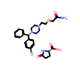 NC(=O)COCCN1CCN([C@H](c2ccccc2)c2ccc(Cl)cc2)CC1.O=C1CC[C@H](C(=O)O)N1